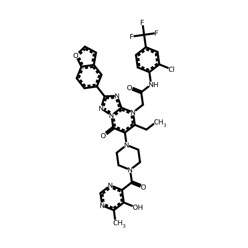 CCc1c(N2CCN(C(=O)c3ncnc(C)c3O)CC2)c(=O)n2nc(-c3ccc4occc4c3)nc2n1CC(=O)Nc1ccc(C(F)(F)F)cc1Cl